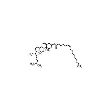 CCCCCCCCC/C=C\CCCCC(=O)OC1CCC2(C)C(=CCC3C2CCC2(C)C(C(C)CCCC(C)C)CCC32)C1